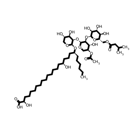 CCCCCC[C@@H](CCC[C@H](O)CCCCCCCCCCCCC[C@@H](O)C(=O)O)O[C@H]1OC[C@H](O)[C@@H](O)[C@@H]1O[C@H]1OC[C@H](OC(C)=O)[C@@H](O)[C@@H]1O[C@H]1O[C@@H](COC(=O)CC(C)C)[C@H](O)[C@@H](O)[C@@H]1O